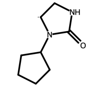 O=C1NC[CH]N1C1CCCC1